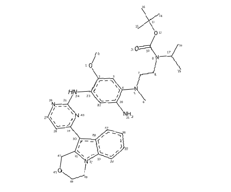 COc1cc(N(C)CCN(C(=O)OC(C)(C)C)C(C)C)c(N)cc1Nc1nccc(-c2c3n(c4ccccc24)CCOC3)n1